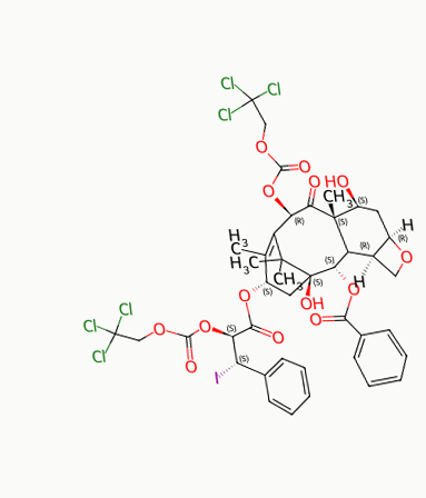 CC1=C2[C@@H](OC(=O)OCC(Cl)(Cl)Cl)C(=O)[C@@]3(C)C([C@@H]4CO[C@@H]4C[C@@H]3O)[C@H](OC(=O)c3ccccc3)[C@](O)(C[C@@H]1OC(=O)[C@H](OC(=O)OCC(Cl)(Cl)Cl)[C@@H](I)c1ccccc1)C2(C)C